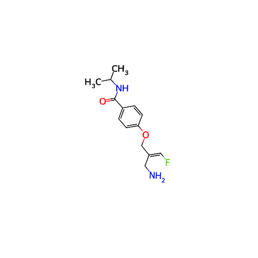 CC(C)NC(=O)c1ccc(OCC(=CF)CN)cc1